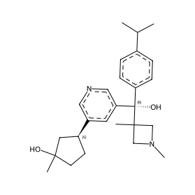 CC(C)c1ccc([C@](O)(c2cncc([C@H]3CCC(C)(O)C3)c2)C2(C)CN(C)C2)cc1